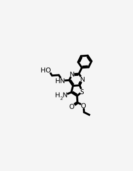 CCOC(=O)c1sc2nc(-c3ccccc3)nc(NCCO)c2c1N